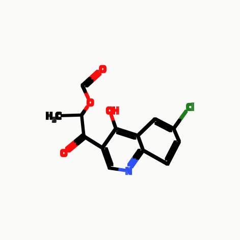 CC(OC=O)C(=O)c1cnc2ccc(Cl)cc2c1O